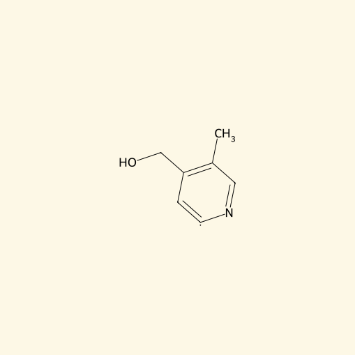 Cc1cn[c]cc1CO